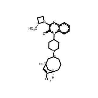 CC1=C[C@@H]2C[C@H]1CCC[C@H](N1CCC(n3c(=O)c(N4CC[C@H]4C(=O)O)nc4ccccc43)CC1)C2